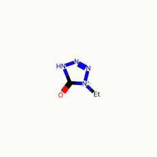 CC[N+]1N=NNC1=O